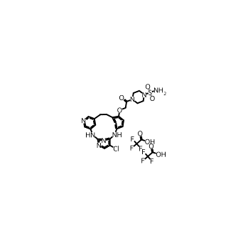 NS(=O)(=O)N1CCN(C(=O)COc2ccc3cc2CCc2cncc(c2)Nc2ncc(Cl)c(n2)N3)CC1.O=C(O)C(F)(F)F.O=C(O)C(F)(F)F